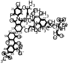 C#CC(C)Oc1cc(N2C(=O)C3=C(CCCC3)C2=O)c(F)cc1Cl.CCc1cccc(C)c1N(C(=O)CCl)C(C)COC.CS(=O)(=O)c1ccc(C(=O)C2C(=O)CCCC2=O)c([N+](=O)[O-])c1.C[S+](C)C.O=C(O)CNCP(=O)([O-])O